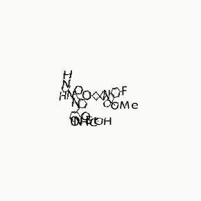 CCOc1ncccc1-c1ccc(OC2CC3(C2)CN(c2ccc(F)cc2C(=O)OC)C3)c(C(=O)N[C@@H]2CCNC2)n1.O=CO